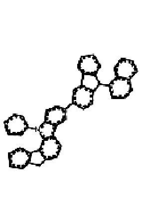 c1ccc(-n2c3ccc(-c4ccc5c(c4)-c4ccccc4C5c4cccc5ccccc45)cc3c3ccc4c(c32)-c2ccccc2C4)cc1